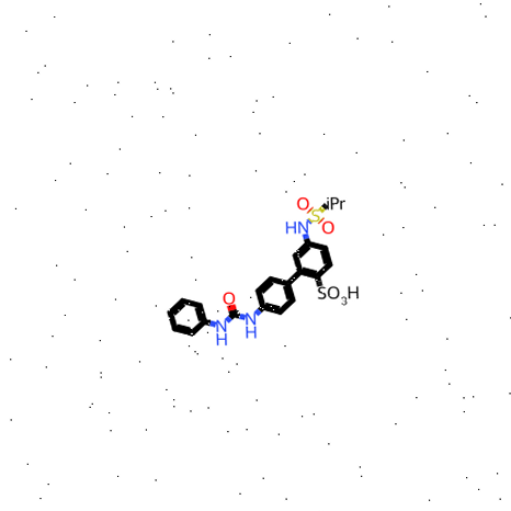 CC(C)S(=O)(=O)Nc1ccc(S(=O)(=O)O)c(-c2ccc(NC(=O)Nc3ccccc3)cc2)c1